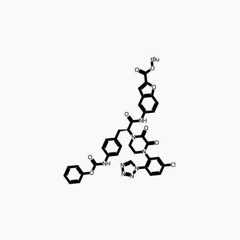 CC(C)(C)OC(=O)c1cc2cc(NC(=O)[C@H](Cc3ccc(NC(=O)Oc4ccccc4)cc3)N3CCN(c4cc(Cl)ccc4-n4cnnn4)C(=O)C3=O)ccc2o1